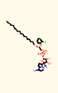 CCCCCCCCCCCCCCCCCCOC[C@H](COP(=O)(O)OC[C@H]1O[C@@](C#N)(c2ccc3c(N)ccnn23)[C@H](O)[C@@H]1O)Oc1ccccc1Cl